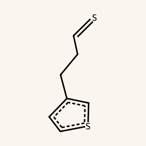 S=CCCc1ccsc1